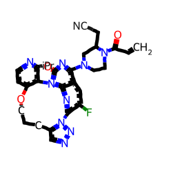 C=CC(=O)N1CCN(c2nc(=O)n3c4nc(c(F)cc24)-n2nncc2CCCOc2ccnc(C(C)C)c2-3)CC1CC#N